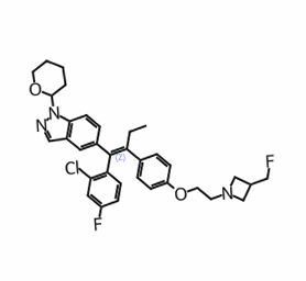 CC/C(=C(\c1ccc2c(cnn2C2CCCCO2)c1)c1ccc(F)cc1Cl)c1ccc(OCCN2CC(CF)C2)cc1